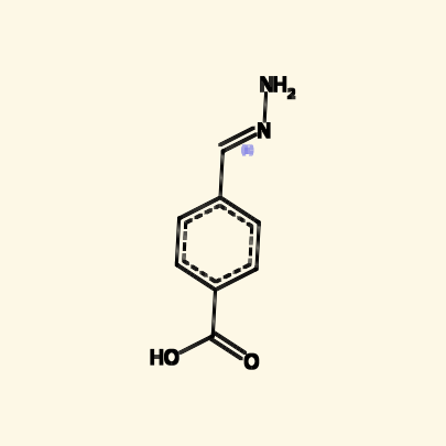 N/N=C/c1ccc(C(=O)O)cc1